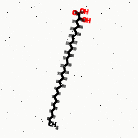 CCCCCCCCCCCCCCCCCCCCCCCCCCCCC(O)C(=O)O